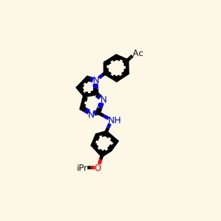 CC(=O)c1ccc(-n2ccc3cnc(Nc4ccc(OC(C)C)cc4)nc32)cc1